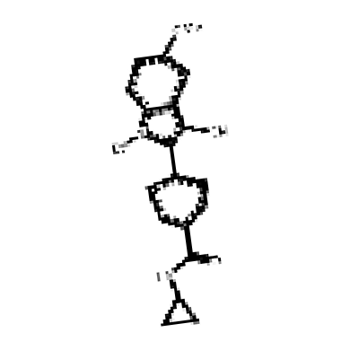 CCn1c(-c2ccc(C(=O)NC3CC3)cc2)c(C#N)c2cc(OC)ccc21